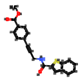 COC(=O)c1ccc(C#CCNC(=O)c2cc3ccccc3s2)cc1